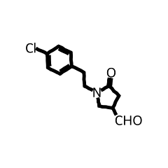 O=CC1CC(=O)N(CCc2ccc(Cl)cc2)C1